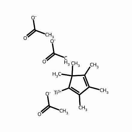 CC(=O)[O-].CC(=O)[O-].CC(=O)[O-].CC1=C(C)C(C)(C)[C]([Ti+3])=C1C